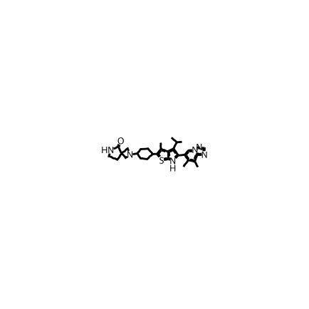 Cc1c(-c2[nH]c3sc(C4CCC(N5CC6(CCNC6=O)C5)CC4)c(C)c3c2C(C)C)cn2ncnc2c1C